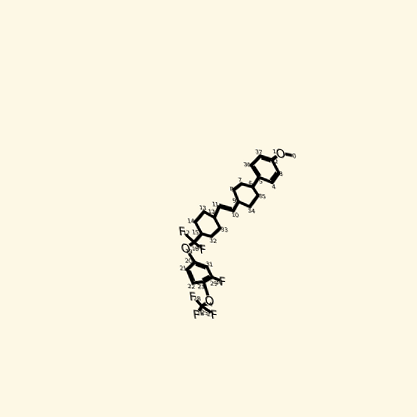 COc1ccc(C2CCC(/C=C/C3CCC(C(F)(F)Oc4ccc(OC(F)(F)F)c(F)c4)CC3)CC2)cc1